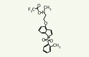 Cc1ccccc1S(=O)(=O)n1ccc2c(OCCN(C)OC(=O)C(F)(F)F)cccc21